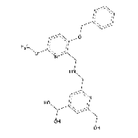 COc1ccc(OCc2ccccc2)c(CNCc2cc(C(O)O)cc(CO)n2)n1